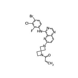 C=CC(=O)N1CCC12CN(c1ccc3ncnc(Nc4ccc(Br)c(Cl)c4F)c3n1)C2